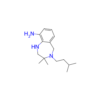 CC(C)CCN1Cc2cccc(N)c2NCC1(C)C